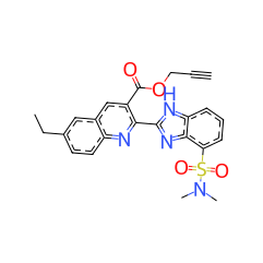 C#CCOC(=O)c1cc2cc(CC)ccc2nc1-c1nc2c(S(=O)(=O)N(C)C)cccc2[nH]1